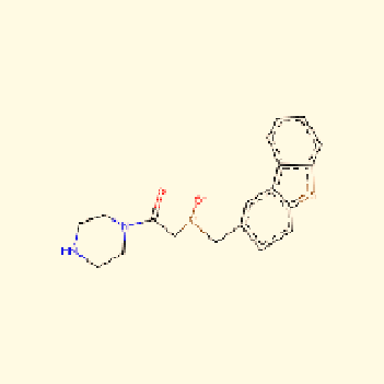 O=C(C[S+]([O-])Cc1ccc2sc3ccccc3c2c1)N1CCNCC1